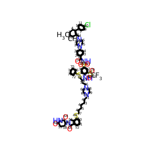 CC1(C)CCC(c2ccc(Cl)cc2)=C(CN2CCN(c3ccc(C(=O)NS(=O)(=O)c4ccc(N[C@H](CCN5CCN(CCCCCCCSc6cccc7c6CN(C6CCC(=O)NC6=O)C7=O)CC5)CSc5ccccc5)c(S(=O)(=O)C(F)(F)F)c4)cc3)CC2)C1